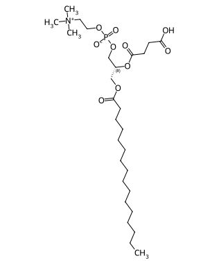 CCCCCCCCCCCCCCCC(=O)OC[C@H](COP(=O)([O-])OCC[N+](C)(C)C)OC(=O)CCC(=O)O